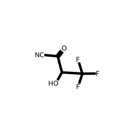 N#CC(=O)C(O)C(F)(F)F